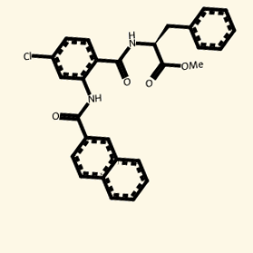 COC(=O)[C@H](Cc1ccccc1)NC(=O)c1ccc(Cl)cc1NC(=O)c1ccc2ccccc2c1